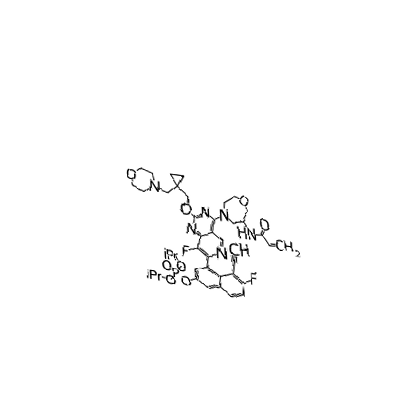 C#Cc1c(F)ccc2cc(OP(=O)(OC(C)C)OC(C)C)cc(-c3ncc4c(N5CCOCC(NC(=O)C=C)C5)nc(OCC5(CN6CCOCC6)CC5)nc4c3F)c12